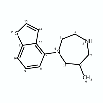 CC1CNCCN(c2cccc3sccc23)C1